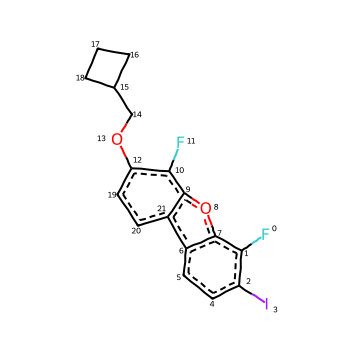 Fc1c(I)ccc2c1oc1c(F)c(OCC3CCC3)ccc12